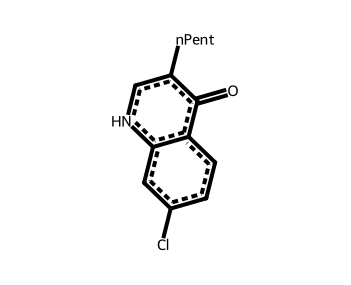 CCCCCc1c[nH]c2cc(Cl)ccc2c1=O